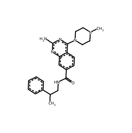 CC(CNC(=O)c1ccc2c(N3CCN(C)CC3)nc(N)nc2c1)c1ccccc1